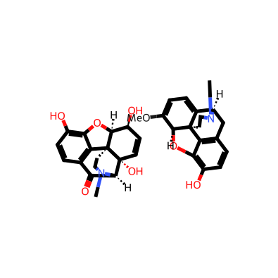 CN1CC[C@]23c4c5ccc(O)c4O[C@H]2[C@@H](O)C=C[C@@]3(O)[C@H]1C5=O.COC1=CC=C2[C@H]3Cc4ccc(O)c5c4[C@@]2(CCN3C)[C@H]1O5